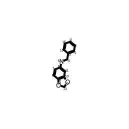 c1ccc(C[N]c2ccc3c(c2)OCO3)cc1